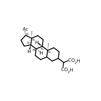 CC(=O)[C@H]1CC[C@H]2[C@@H]3CCC4CC(C(C(=O)O)C(=O)O)CC[C@]4(C)[C@H]3CC[C@]12C